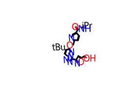 CC(C)NC(=O)c1ccc(COc2nn3c(-c4cc(CO)on4)nnc3cc2C(C)(C)C)nc1